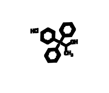 CC(O)[P](c1ccccc1)(c1ccccc1)c1ccccc1.Cl